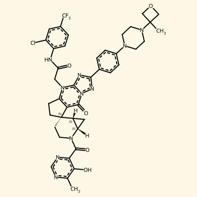 Cc1ncnc(C(=O)N2CC[C@@]3(CCc4c3c(=O)n3nc(-c5ccc(N6CCN(C7(C)COC7)CC6)cc5)nc3n4CC(=O)Nc3ccc(C(F)(F)F)cc3Cl)[C@@H]3C[C@@H]32)c1O